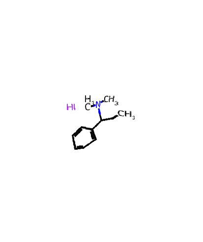 CCC(c1ccccc1)N(C)C.I